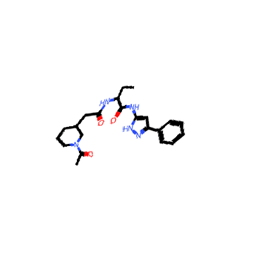 CCC(NC(=O)CC1CCCN(C(C)=O)C1)C(=O)Nc1cc(-c2ccccc2)n[nH]1